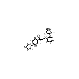 O=C(COc1ccccc1-c1cnc[nH]1)c1ccc(N2CCCC2)cc1